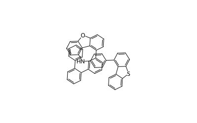 c1ccc(-c2ccccc2-c2cccc(-c3cccc4oc5cccc(Nc6ccc(-c7cccc8sc9ccccc9c78)cc6)c5c34)c2)cc1